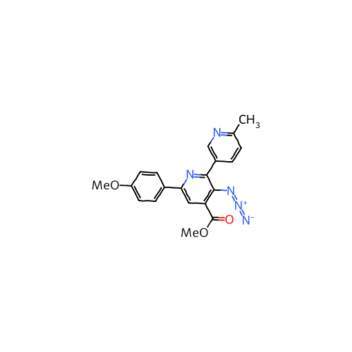 COC(=O)c1cc(-c2ccc(OC)cc2)nc(-c2ccc(C)nc2)c1N=[N+]=[N-]